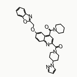 O=C(c1cc(C(=O)N2CCCCC2)c2cc(OCc3nc4ccccc4o3)ccc2n1)N1CCC(n2cccn2)CC1